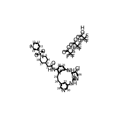 O=C(CC1CCN(S(=O)(=O)c2cccnc2)CC1)Nc1ccc2cc1CCc1cncc(c1)Nc1ncc(Cl)c(n1)N2.O=C(O)C(F)(F)F.O=C(O)C(F)(F)F.O=C(O)C(F)(F)F